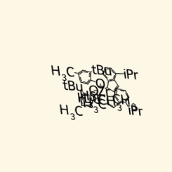 CC1=Cc2c(C(C)C)cccc2[CH]1[Zr]([O]c1ccc(C)cc1C(C)(C)C)([O]c1ccc(C)cc1C(C)(C)C)([CH]1C(C)=Cc2c(C(C)C)cccc21)[SiH](C)C